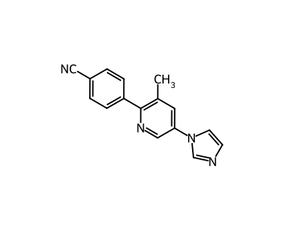 Cc1cc(-n2ccnc2)cnc1-c1ccc(C#N)cc1